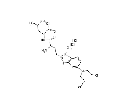 CC(C)CC(NC(=O)C(N)CCc1nc2cc(N(CCCl)CCCl)ccc2n1C)C(=O)O.Cl.Cl